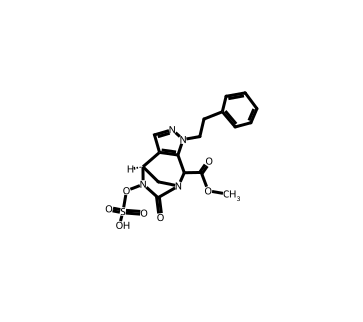 COC(=O)C1c2c(cnn2CCc2ccccc2)[C@H]2CN1C(=O)N2OS(=O)(=O)O